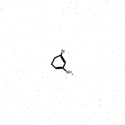 NC1=CCCC(Br)=C1